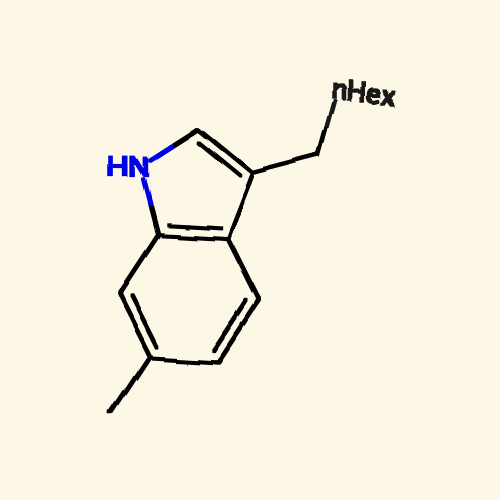 CCCCCCCc1c[nH]c2cc(C)ccc12